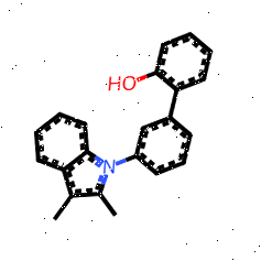 Cc1c(C)n(-c2cccc(-c3ccccc3O)c2)c2ccccc12